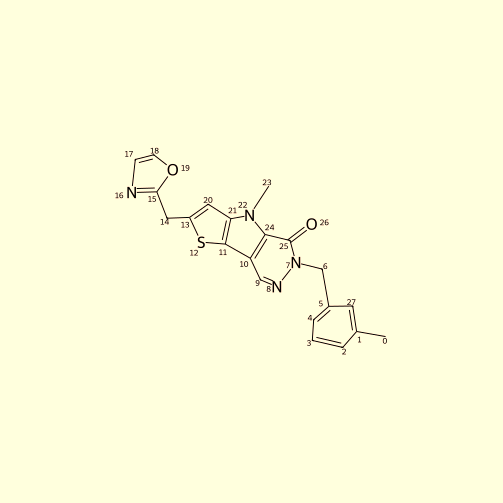 Cc1cccc(Cn2ncc3c4sc(Cc5ncco5)cc4n(C)c3c2=O)c1